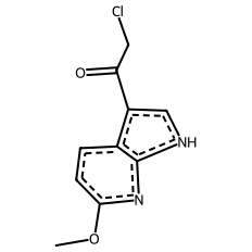 COc1ccc2c(C(=O)CCl)c[nH]c2n1